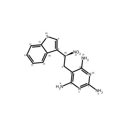 Nc1nc(N)c(C[C@@H](c2csc3ccccc23)[N+](=O)[O-])c(N)n1